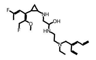 C=C/C=C(\C=C)CN(CC)CCNC(O)CNC1CC1C(/C=C(\C)F)=C(/CF)OC